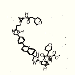 COC(=O)N[C@H](C(=O)N1[C@@H]2C[C@@H]2C[C@H]1C1=NCC(c2ccc3cc(-c4ccc(C5CN=C(CC[C@H]6C[C@H]6NC(=O)CC6CCOCC6)N5)cc4)ccc3c2)N1)C1CCOCC1